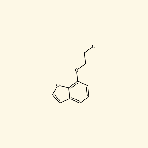 ClCCOc1cccc2ccoc12